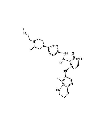 COCCN1CCN(c2ccc(NC(=O)c3c(Nc4cnc5c(c4C)NCCO5)cc[nH]c3=O)cc2)C[C@H]1C